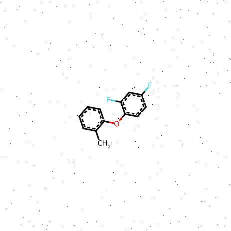 [CH2]c1ccccc1Oc1ccc(F)cc1F